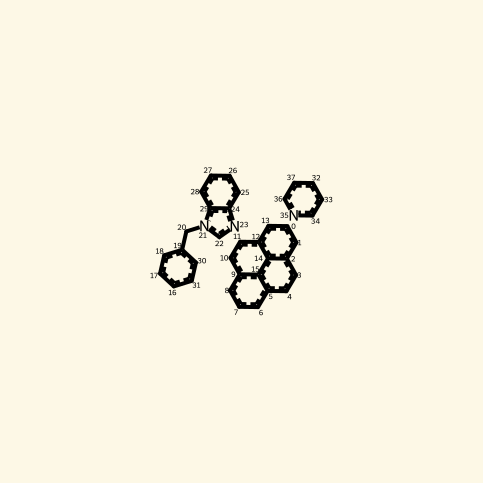 c1cc2ccc3cccc4ccc(c1)c2c34.c1ccc(Cn2cnc3ccccc32)cc1.c1ccncc1